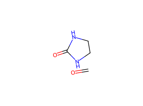 C=O.O=C1NCCN1